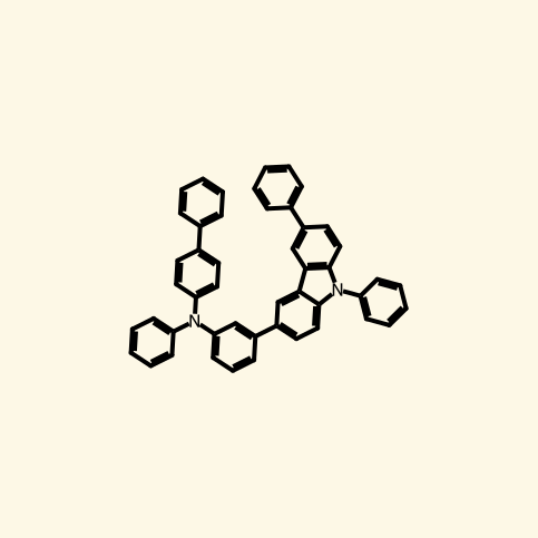 c1ccc(-c2ccc(N(c3ccccc3)c3cccc(-c4ccc5c(c4)c4cc(-c6ccccc6)ccc4n5-c4ccccc4)c3)cc2)cc1